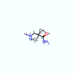 CC(C)(CNI)C(N)=O